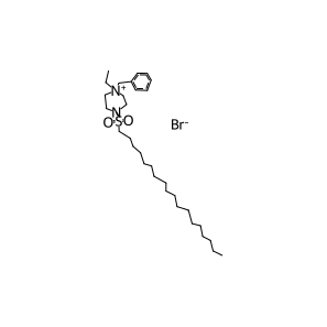 CCCCCCCCCCCCCCCCCCS(=O)(=O)N1CC[N+](CC)(Cc2ccccc2)CC1.[Br-]